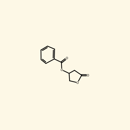 O=C1CC(OC(=O)c2ccccc2)CO1